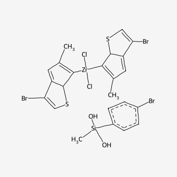 CC1=[C]([Zr]([Cl])([Cl])[C]2=C(C)C=C3C(Br)=CSC32)C2SC=C(Br)C2=C1.C[Si](O)(O)c1ccc(Br)cc1